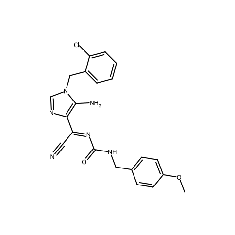 COc1ccc(CNC(=O)/N=C(\C#N)c2ncn(Cc3ccccc3Cl)c2N)cc1